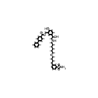 NS(=O)(=O)c1cccc(CCCCOCCCCCCNC[C@H](O)c2ccc(O)c(COC(=O)c3ccc(-c4ccccc4)cc3)c2)c1